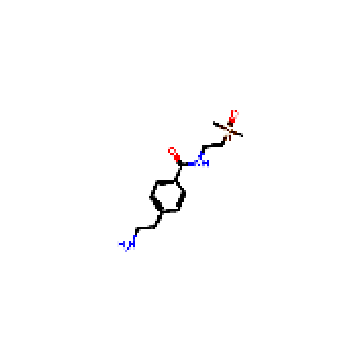 C[SH](C)(=O)CCNC(=O)c1ccc(CCN)cc1